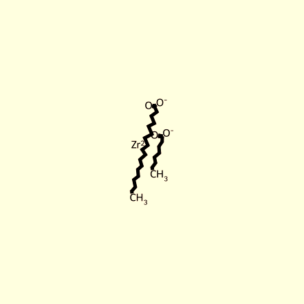 CCCCCCCC(=O)[O-].CCCCCCCCCCCCCCCCCC(=O)[O-].[Zr+2]